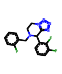 Fc1ccccc1CN1CCn2nnnc2C1c1cccc(F)c1F